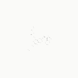 C=CC(=O)N1CCN(c2nc(N3CC(N(C)C)C3)nc3c(F)c(-c4c(C)ccc5[nH]nc(N)c45)c(Cl)cc23)C[C@H]1C